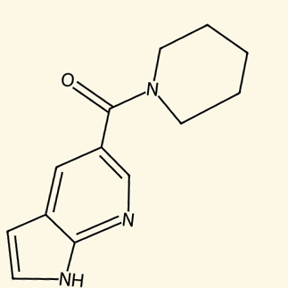 O=C(c1cnc2[nH]ccc2c1)N1CCCCC1